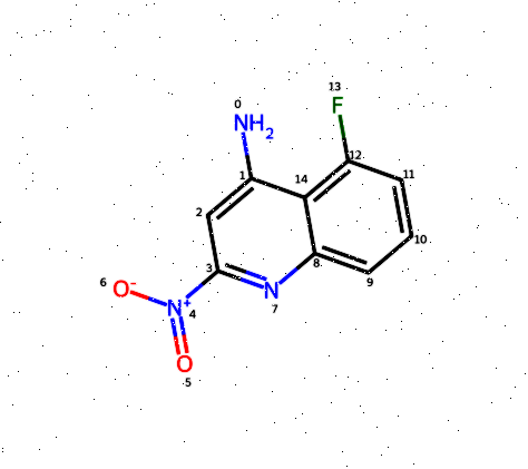 Nc1cc([N+](=O)[O-])nc2cccc(F)c12